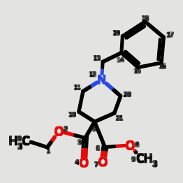 CCOC(=O)C1(C(=O)OC)CCN(Cc2ccccc2)CC1